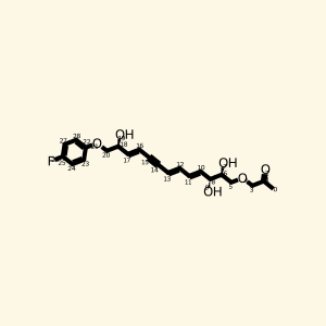 CC(=O)COC[C@H](O)[C@H](O)/C=C/C=C/C#C/C=C/[C@H](O)COc1ccc(F)cc1